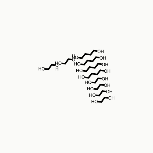 OCCCCO.OCCCCO.OCCCCO.OCCCCO.OCCO.OCCO.OCCO.OCCO.OCCO.OCCO